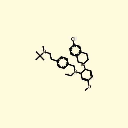 CCN(Cc1ccc(CCN(C)C(C)(C)C)cc1)C1C=C(OC)C=CC1[C@@H]1CCc2cc(O)ccc2C1